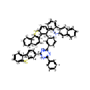 c1ccc(-c2nc(-c3ccc(-n4c5ccccc5c5cc6ccccc6cc54)c(-c4cccc5sc6c7ccccc7ccc6c45)c3)nc(-c3ccc4c(c3)sc3ccccc34)n2)cc1